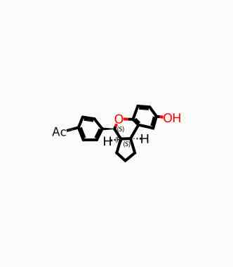 CC(=O)c1ccc([C@H]2Oc3ccc(O)cc3[C@H]3CCC[C@H]32)cc1